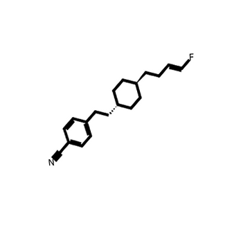 N#Cc1ccc(CC[C@H]2CC[C@H](CC/C=C/F)CC2)cc1